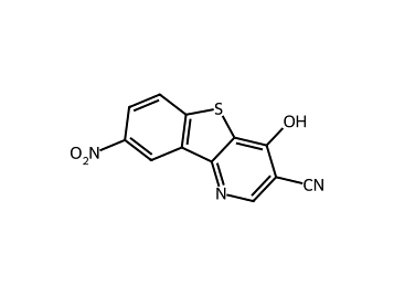 N#Cc1cnc2c(sc3ccc([N+](=O)[O-])cc32)c1O